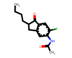 CCCCC1Cc2cc(NC(C)=O)c(F)cc2C1=O